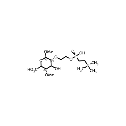 CO[C@@H]1C(C(=O)O)O[C@@H](OC)[C@H](OCCOP(=O)(O)CC[N+](C)(C)C)C1O